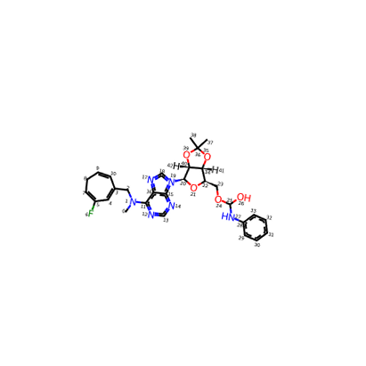 CN(CC1=CC(F)=CCC=C1)c1ncnc2c1ncn2[C@@H]1O[C@H](COC(O)Nc2ccccc2)[C@H]2OC(C)(C)O[C@H]21